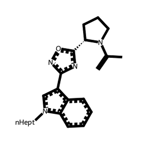 C=C(C)N1CCC[C@H]1c1nc(-c2cn(CCCCCCC)c3ccccc23)no1